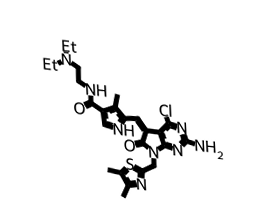 CCN(CC)CCNC(=O)c1c[nH]c(/C=C2\C(=O)N(Cc3nc(C)c(C)s3)c3nc(N)nc(Cl)c32)c1C